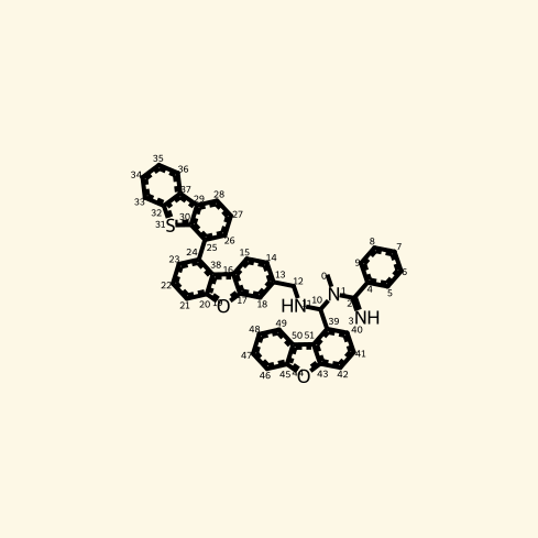 CN(C(=N)c1ccccc1)C(NCc1ccc2c(c1)oc1cccc(-c3cccc4c3sc3ccccc34)c12)c1cccc2oc3ccccc3c12